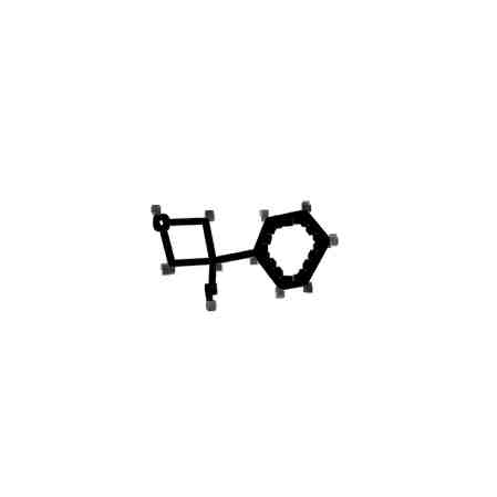 FC1(c2cc[c]cc2)COC1